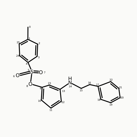 Cc1ccc(S(=O)(=O)Oc2cc[c]c(NCCc3ccccc3)c2)cc1